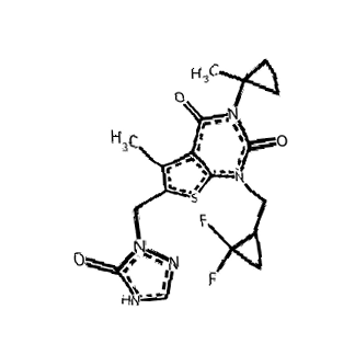 Cc1c(Cn2nc[nH]c2=O)sc2c1c(=O)n(C1(C)CC1)c(=O)n2CC1CC1(F)F